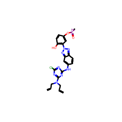 C=CCN(CC=C)c1nc(Cl)nc(Nc2ccc3nn(-c4cc(O[PH](C)=O)ccc4O)nc3c2)n1